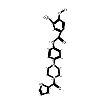 CCOc1ccc(C(=O)Nc2ccc(N3CCN(C(=O)c4cccs4)CC3)cc2)cc1[N+](=O)[O-]